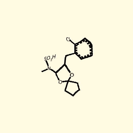 CN(C1OC2(CCCC2)OC1Cc1ccccc1Cl)S(=O)(=O)O